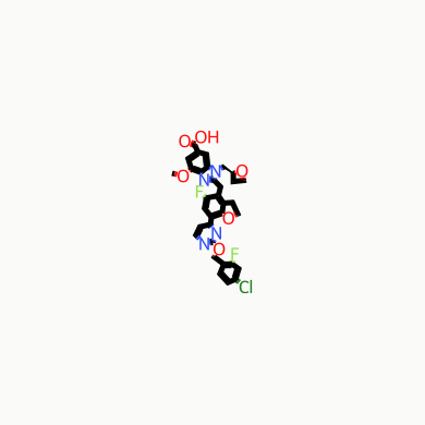 COc1cc(C(=O)O)cc2c1nc(Cc1c(F)cc(-c3ccnc(OCc4ccc(Cl)cc4F)n3)c3c1CCO3)n2C[C@@H]1CCO1